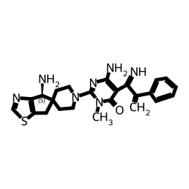 C=C(C(=N)c1c(N)nc(N2CCC3(CC2)Cc2scnc2[C@H]3N)n(C)c1=O)c1ccccc1